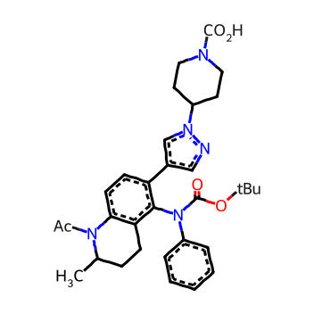 CC(=O)N1c2ccc(-c3cnn(C4CCN(C(=O)O)CC4)c3)c(N(C(=O)OC(C)(C)C)c3ccccc3)c2CCC1C